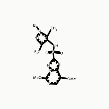 CCn1nc(C(F)(F)F)c(NS(=O)(=O)c2nc3c(OC)cnc(OC)n3n2)c1C